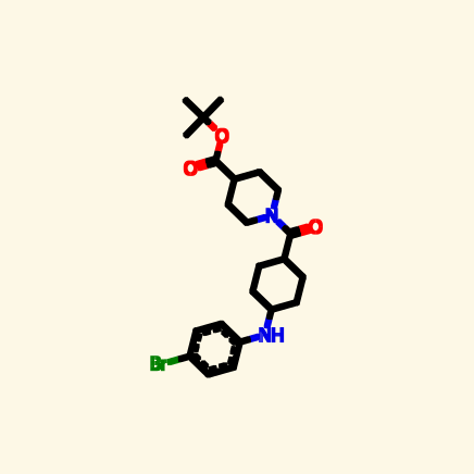 CC(C)(C)OC(=O)C1CCN(C(=O)C2CCC(Nc3ccc(Br)cc3)CC2)CC1